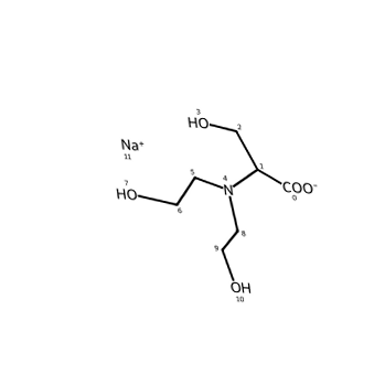 O=C([O-])C(CO)N(CCO)CCO.[Na+]